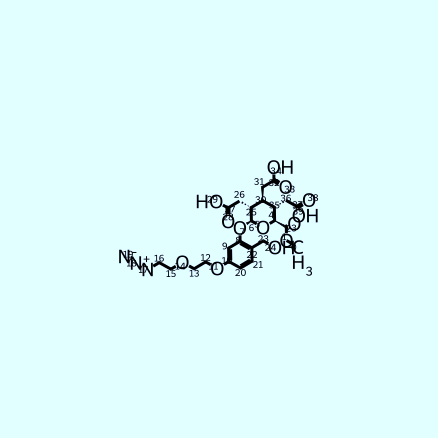 COC(=O)[C@H]1O[C@@H](Oc2cc(OCCOCCN=[N+]=[N-])ccc2CO)[C@H](CC(=O)O)[C@@H](CC(=O)O)[C@@H]1CC(=O)O